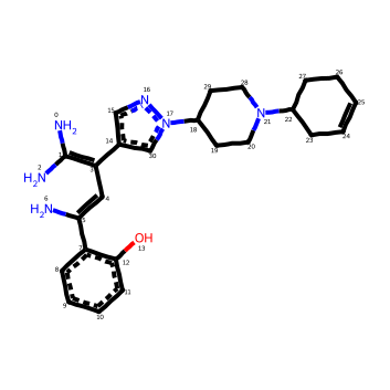 NC(N)=C(/C=C(\N)c1ccccc1O)c1cnn(C2CCN(C3CC=CCC3)CC2)c1